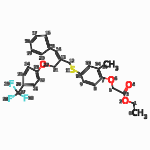 CCOC(=O)COc1ccc(SCC(=Cc2ccccc2)COc2ccc(C(F)(F)F)cc2)cc1C